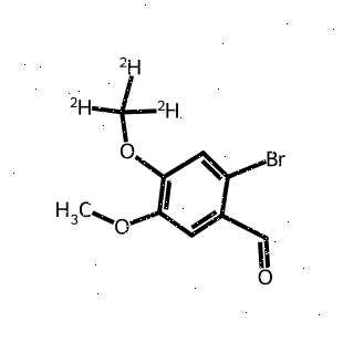 [2H]C([2H])([2H])Oc1cc(Br)c(C=O)cc1OC